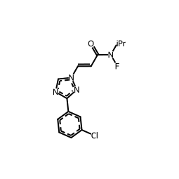 CC(C)N(F)C(=O)C=Cn1cnc(-c2cccc(Cl)c2)n1